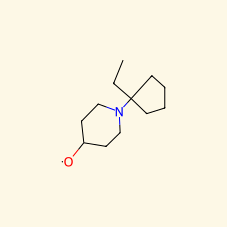 CCC1(N2CCC([O])CC2)CCCC1